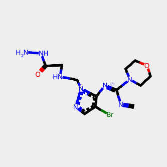 C=N/C(=N\c1c(Br)cnn1CNCC(=O)NN)N1CCOCC1